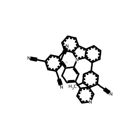 Cc1cc(C#N)cc(-c2cccc3c4cccc(-c5cc(C#N)cc(C#N)c5)c4n(C4=CC(c5ccncc5)=CC/C4=C/C#N)c23)c1